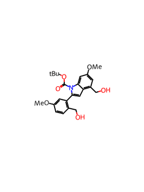 COc1ccc(CO)c(-c2cc3c(CO)cc(OC)cc3n2C(=O)OC(C)(C)C)c1